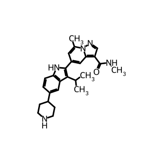 CNC(=O)c1cnn2c(C)cc(-c3[nH]c4ccc(C5CCNCC5)cc4c3C(C)C)cc12